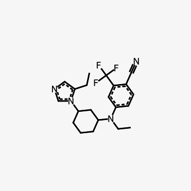 CCc1cncn1C1CCCC(N(CC)c2ccc(C#N)c(C(F)(F)F)c2)C1